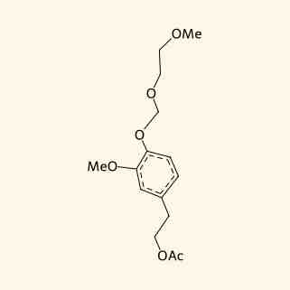 COCCOCOc1ccc(CCOC(C)=O)cc1OC